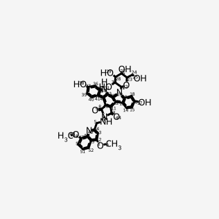 COc1cc(CNN2C(=O)c3c(c4c5ccc(O)cc5n(C5OC(CO)C(O)C(O)C5O)c4c4[nH]c5cc(O)ccc5c34)C2=O)nc2c(OC)cccc12